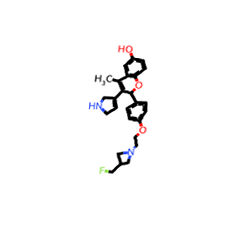 CC1=C(C2=CCNC2)C(c2ccc(OCCN3CC(CF)C3)cc2)Oc2ccc(O)cc21